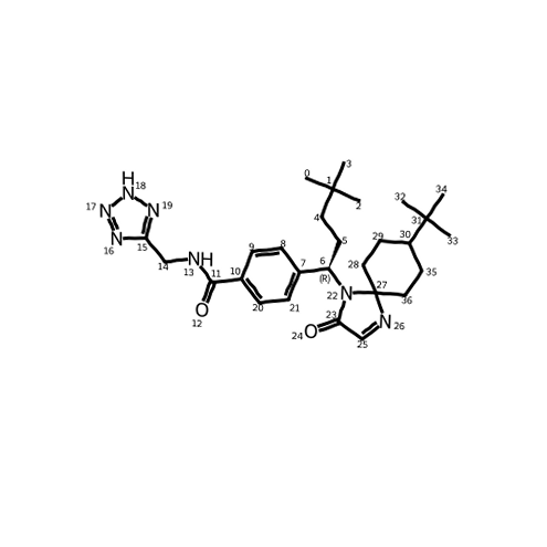 CC(C)(C)CC[C@H](c1ccc(C(=O)NCc2nn[nH]n2)cc1)N1C(=O)C=NC12CCC(C(C)(C)C)CC2